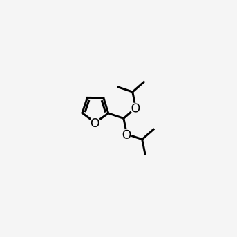 CC(C)OC(OC(C)C)c1ccco1